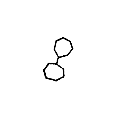 [CH]1CCCCCC1C1[CH]CCCCC1